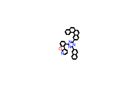 c1ccc2cc(-c3nc(-c4ccc5ccc6ccc7ccccc7c6c5c4)nc(-c4cccc5oc6ncccc6c45)n3)ccc2c1